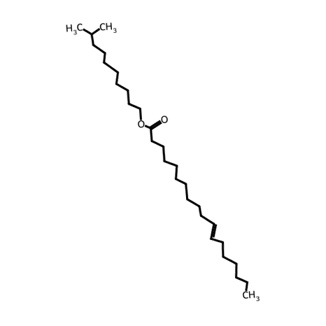 CCCCCC/C=C/CCCCCCCCCC(=O)OCCCCCCCCC(C)C